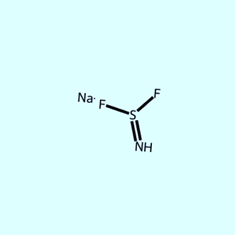 N=S(F)F.[Na]